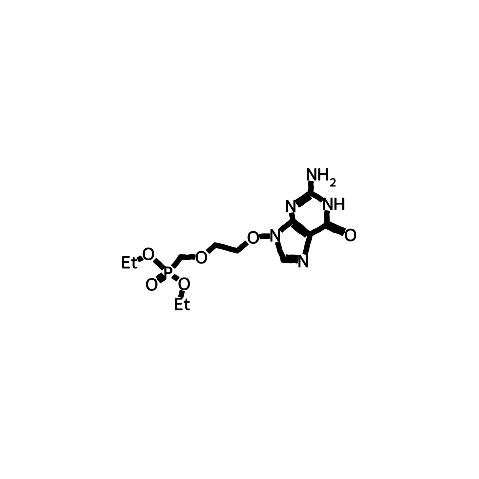 CCOP(=O)(COCCOn1cnc2c(=O)[nH]c(N)nc21)OCC